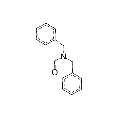 O=CN(Cc1ccccc1)Cc1ccccc1